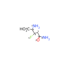 NC(=O)CC(F)C(N)C(=O)O